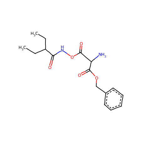 CCC(CC)C(=O)NOC(=O)C(N)C(=O)OCc1ccccc1